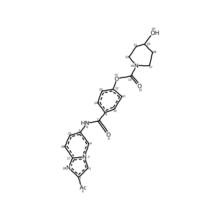 CC(=O)c1cn2cc(NC(=O)c3ccc(OC(=O)N4CCC(O)CC4)cc3)ccc2n1